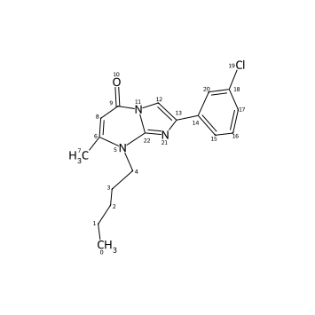 CCCCCn1c(C)cc(=O)n2cc(-c3cccc(Cl)c3)nc12